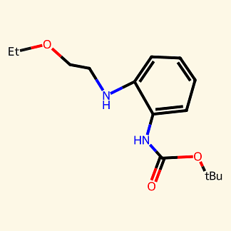 CCOCCNc1ccccc1NC(=O)OC(C)(C)C